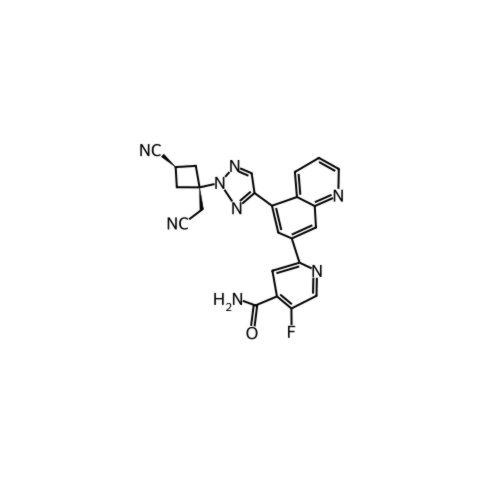 N#CC[C@]1(n2ncc(-c3cc(-c4cc(C(N)=O)c(F)cn4)cc4ncccc34)n2)C[C@H](C#N)C1